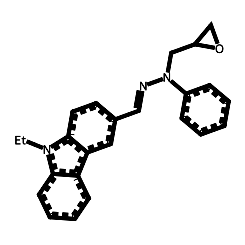 CCn1c2ccccc2c2cc(/C=N/N(CC3CO3)c3ccccc3)ccc21